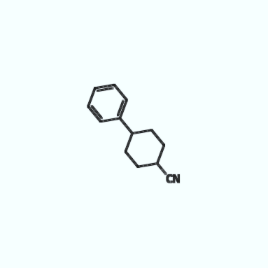 N#CC1CCC(c2ccccc2)CC1